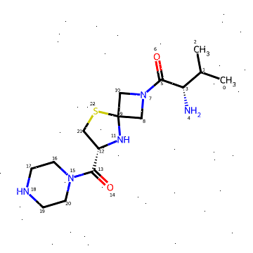 CC(C)[C@H](N)C(=O)N1CC2(C1)N[C@H](C(=O)N1CCNCC1)CS2